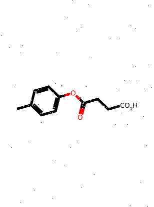 Cc1ccc(OC(=O)CCC(=O)O)cc1